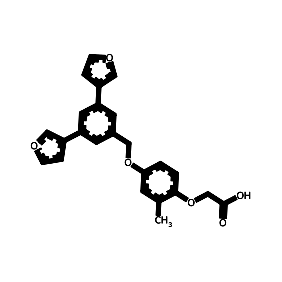 Cc1cc(OCc2cc(-c3ccoc3)cc(-c3ccoc3)c2)ccc1OCC(=O)O